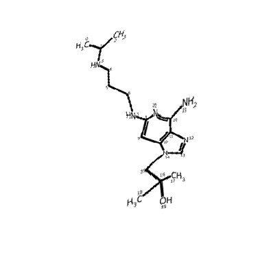 CC(C)NCCCNc1cc2c(ncn2CC(C)(C)O)c(N)n1